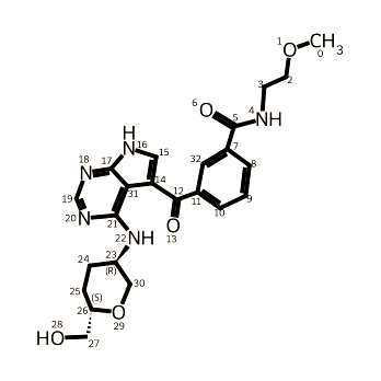 COCCNC(=O)c1cccc(C(=O)c2c[nH]c3ncnc(N[C@@H]4CC[C@@H](CO)OC4)c23)c1